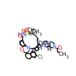 C=CC(=O)N1CCN2CCN(C[C@]3(OC)/C=C/C[C@H](C)[C@@H](C)S(=O)(=O)NC(=O)c4ccc5c(c4)N(C[C@@H]4CC[C@H]43)C[C@@]3(CCCc4cc(Cl)ccc43)CO5)C[C@H]2C1